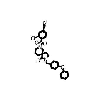 N#Cc1ccc(S(=O)(=O)N2CCCC3(CCN(Cc4ccc(Oc5ccccc5)cc4)C3=O)C2)c(Cl)c1